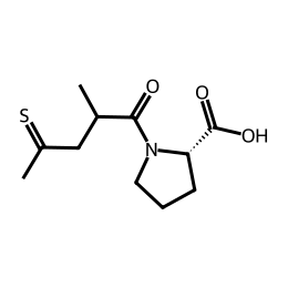 CC(=S)CC(C)C(=O)N1CCC[C@H]1C(=O)O